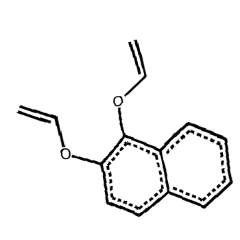 C=COc1ccc2ccccc2c1OC=C